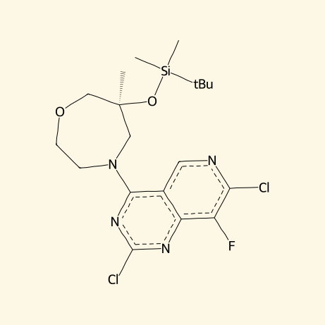 CC(C)(C)[Si](C)(C)O[C@]1(C)COCCN(c2nc(Cl)nc3c(F)c(Cl)ncc23)C1